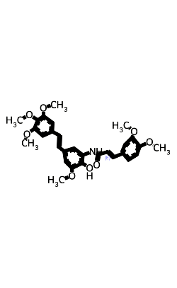 COc1ccc(/C=C/C(=O)Nc2cc(C=Cc3cc(OC)c(OC)c(OC)c3)cc(OC)c2O)cc1OC